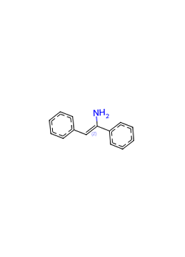 N/C(=C\c1ccccc1)c1ccccc1